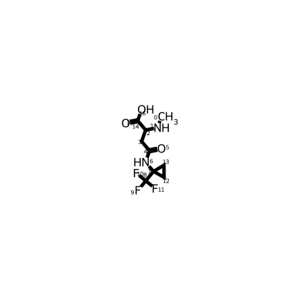 CNC(CC(=O)NC1(C(F)(F)F)CC1)C(=O)O